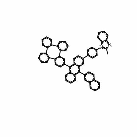 Cc1nc2ccccc2n1-c1ccc(-c2ccc3c(-c4ccc5c(c4)-c4ccccc4-c4ccccc4-c4ccccc4-5)c4ccccc4c(-c4ccc5ccccc5c4)c3c2)cc1